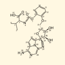 CC(C)C(N=[P+]([O-])Oc1ccccc1OC[C@H]1O[C@@](C#N)(c2ccc3c(N)ncnn23)[C@H](O)[C@@H]1O)C(=O)O